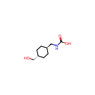 O=C(O)NC[C@H]1CC[C@H](CO)CC1